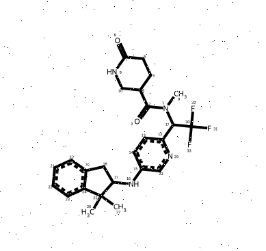 CN(C(=O)C1CCC(=O)NC1)C(c1ccc(NC2Cc3ccccc3C2(C)C)cn1)C(F)(F)F